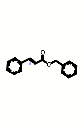 O=C(/C=C/c1ccccc1)OCc1ccccc1